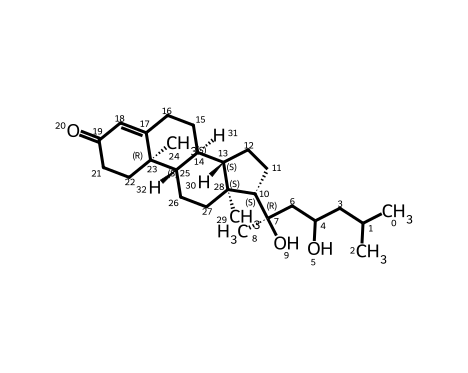 CC(C)CC(O)C[C@@](C)(O)[C@H]1CC[C@H]2[C@@H]3CCC4=CC(=O)CC[C@]4(C)[C@H]3CC[C@@]21C